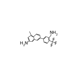 Cc1cc(N)cc2cc(-c3ccc(C(F)(F)F)c(CN)c3)ccc12